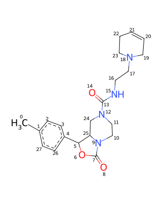 Cc1ccc(C2OC(=O)N3CCN(C(=O)NCCN4CC=CCC4)CC23)cc1